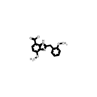 COc1ccccc1Cc1nc2c(OC)ccc(C(=O)Cl)c2[nH]1